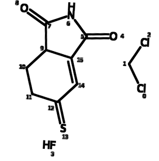 ClCCl.F.O=C1NC(=O)C2CCC(=S)C=C12